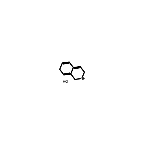 C1=CC2=CCNCC2=CC1.Cl